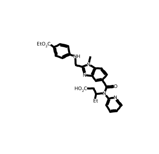 CCOC(=O)c1ccc(NCc2nc3cc(C(=O)N(c4ccccn4)C(CC)CC(=O)O)ccc3n2C)cc1